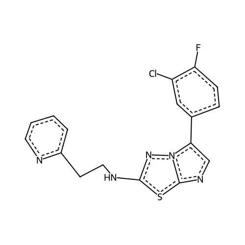 Fc1ccc(-c2cnc3sc(NCCc4ccccn4)nn23)cc1Cl